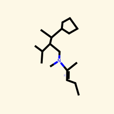 CC/C=C(\C)N(C)CC(C(C)C)C(C)C1CCCC1